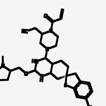 C=CC(=O)N1CCN(C2NC(OCC3CCCN3C)NC3C[C@]4(CCC32)Cc2ccc(Cl)cc2S4)CC1CC#N